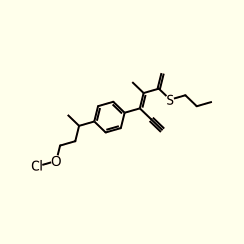 C#C/C(=C(/C)C(=C)SCCC)c1ccc(C(C)CCOCl)cc1